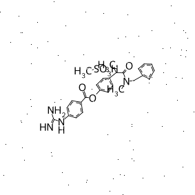 CC(C(=O)N(C)Cc1ccccc1)c1ccc(OC(=O)c2ccc(NC(=N)N)cc2)cc1.CS(=O)(=O)O